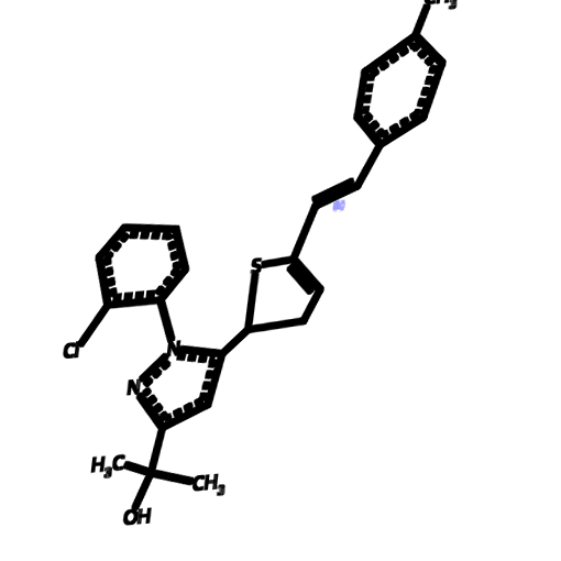 Cc1ccc(/C=C/C2=CCC(c3cc(C(C)(C)O)nn3-c3ccccc3Cl)S2)cc1